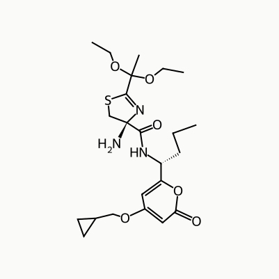 CCC[C@@H](NC(=O)[C@]1(N)CSC(C(C)(OCC)OCC)=N1)c1cc(OCC2CC2)cc(=O)o1